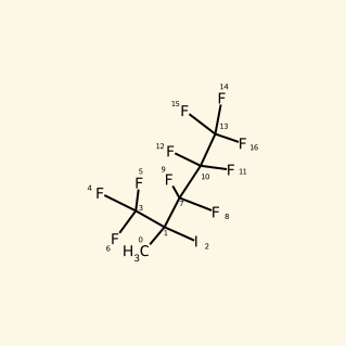 CC(I)(C(F)(F)F)C(F)(F)C(F)(F)C(F)(F)F